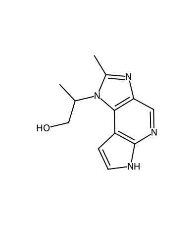 Cc1nc2cnc3[nH]ccc3c2n1C(C)CO